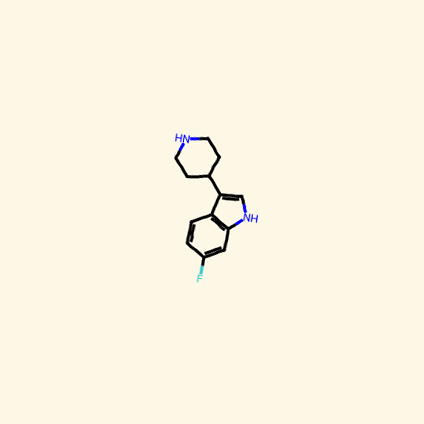 Fc1ccc2c(C3CCNCC3)c[nH]c2c1